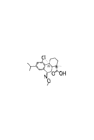 CON=C1CC2[C@](C)(C(=O)O)CCC[C@]2(C)c2c(Cl)cc(C(C)C)cc21